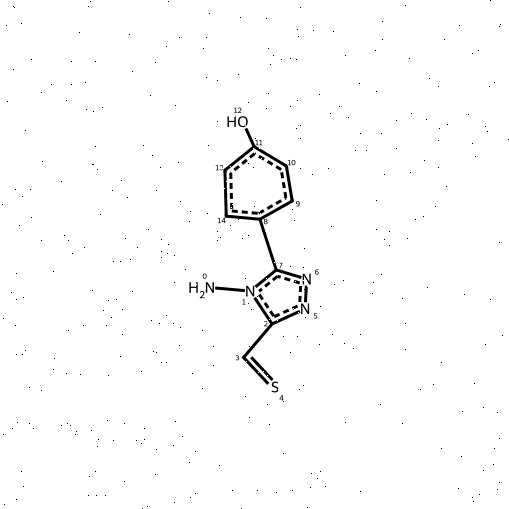 Nn1c(C=S)nnc1-c1ccc(O)cc1